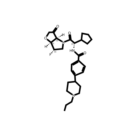 CCCN1CCC(c2ccc(C(=O)N[C@H](C(=O)N3C[C@H](F)[C@H]4OCC(=O)[C@H]43)C3CCCC3)cc2)CC1